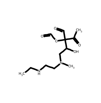 CCNCCN(C)CC(O)C(C=O)(OC=O)C(C)=O